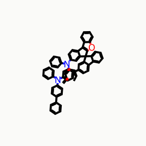 C=C/C=C(\C=C/C)N(c1ccccc1)c1ccc2c(c1)C1(c3ccccc3-c3ccc(-c4ccc(N(c5ccccc5)c5ccc(-c6ccccc6)cc5)cc4)cc31)c1oc3ccccc3c1-2